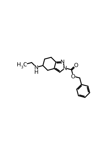 CCNC1CCc2nn(C(=O)OCc3ccccc3)cc2C1